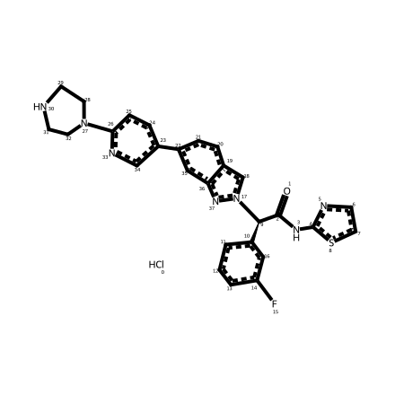 Cl.O=C(Nc1nccs1)[C@@H](c1cccc(F)c1)n1cc2ccc(-c3ccc(N4CCNCC4)nc3)cc2n1